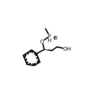 C[PH](=O)O[C@@H](CCO)c1ccccc1